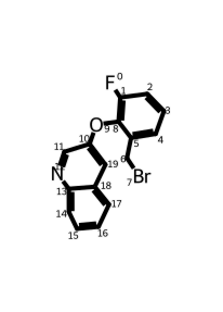 Fc1cccc(CBr)c1Oc1cnc2ccccc2c1